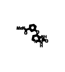 CNC(=O)c1cccc(Oc2ccnc3[nH]c(=O)[nH]c23)c1